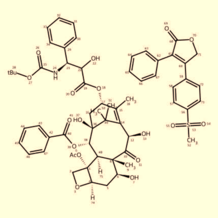 CC(=O)O[C@@]12CO[C@@H]1C[C@H](O)[C@@]1(C)C(=O)[C@H](O)C3=C(C)[C@@H](OC(=O)C(O)[C@@H](NC(=O)OC(C)(C)C)c4ccccc4)C[C@@](O)([C@@H](OC(=O)c4ccccc4)[C@H]21)C3(C)C.CS(=O)(=O)c1ccc(C2=C(c3ccccc3)C(=O)OC2)cc1